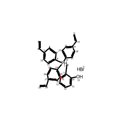 Br.C=Cc1ccc([PH](Cc2ccccc2O)(c2ccc(C=C)cc2)c2ccc(C=C)cc2)cc1